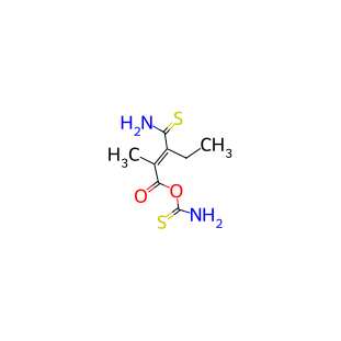 CCC(C(N)=S)=C(C)C(=O)OC(N)=S